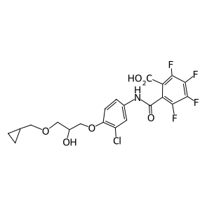 O=C(O)c1c(F)c(F)c(F)c(F)c1C(=O)Nc1ccc(OCC(O)COCC2CC2)c(Cl)c1